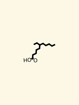 CCCCCC(CC)CCCCC(=O)O